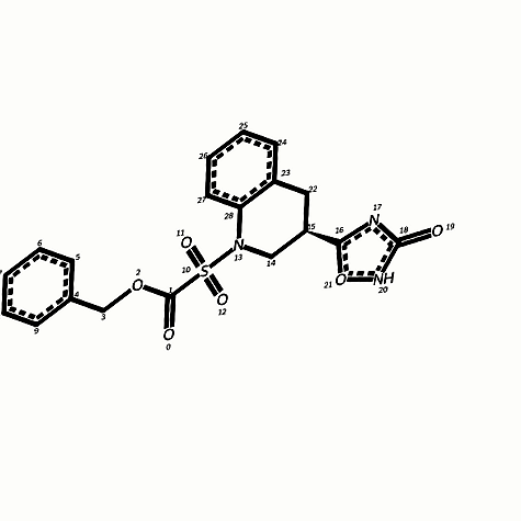 O=C(OCc1ccccc1)S(=O)(=O)N1C[C@H](c2nc(=O)[nH]o2)Cc2ccccc21